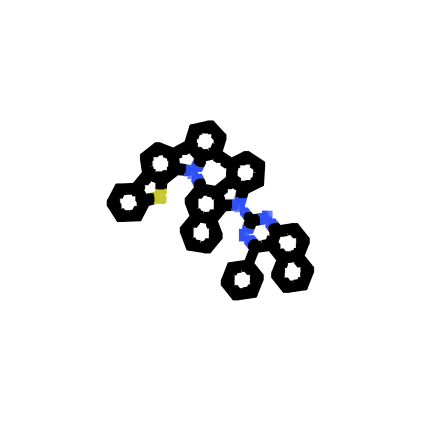 c1ccc(-c2nc(-n3c4cccc5c6cccc7c8ccc9c%10ccccc%10sc9c8n(c8cc9ccccc9c3c8c54)c67)nc3ccc4ccccc4c23)cc1